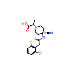 CC(C(=O)O)N1CCC(C#N)(NC(=O)Cc2c(F)cccc2Cl)CC1